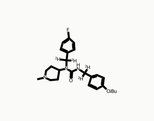 [2H]C([2H])(NC(=O)N(C1CCN(C)CC1)C([2H])([2H])c1ccc(F)cc1)c1ccc(OCC(C)C)cc1